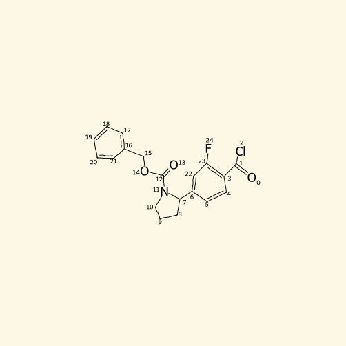 O=C(Cl)c1ccc(C2CCCN2C(=O)OCc2ccccc2)cc1F